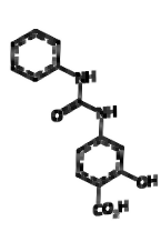 O=C(Nc1ccccc1)Nc1ccc(C(=O)O)c(O)c1